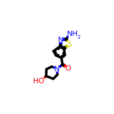 Nc1nc2ccc(C(=O)N3CCC(O)CC3)cc2s1